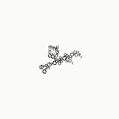 CC(C)c1ccccc1[C@@H]1CCCN1C1CC2(CCN(c3ccc(C(=O)NS(=O)(=O)c4cc5c(c([N+](=O)[O-])c4)N[C@@H](C4CCC(C)(C)CC4)CO5)c(Oc4cc5cc[nH]c5nc4O[C@@H]4CCN(C(=O)OC(C)(C)C)C4)c3)CC2)C1